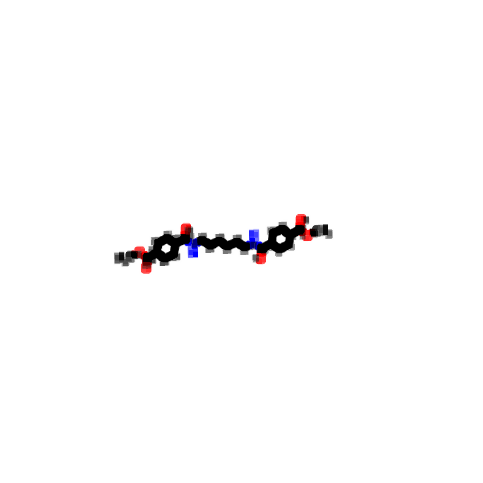 COC(=O)C1CCC(C(=O)NCCCCCCNC(=O)C2CCC(C(=O)OC)CC2)CC1